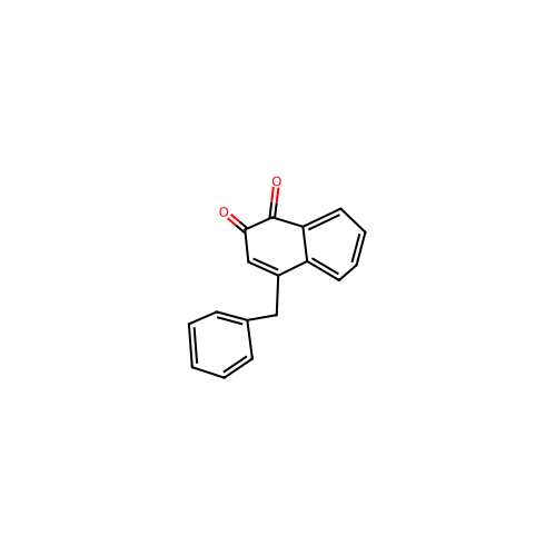 O=C1C=C(Cc2ccccc2)c2ccccc2C1=O